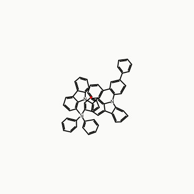 c1ccc(-c2ccc(-n3c4ccccc4c4ccc(-n5c6ccccc6c6cccc([Si](c7ccccc7)(c7ccccc7)c7ccccc7)c65)cc43)c(-c3ccccc3)c2)cc1